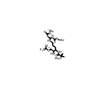 COC(C)(C)C(=O)NC(CCCNC(=NC(=O)OC(C)(C)C)NC(=O)OC(C)(C)C)C(O)COC(C(F)(F)F)C(F)(F)F